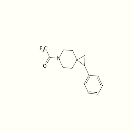 O=C(N1CCC2(CC1)CC2c1ccccc1)C(F)(F)F